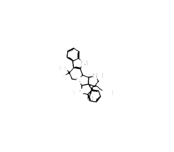 CCC1(CC)CN2C(c3[nH]c4ccccc4c31)C1NCC3(C(C)C3C)C13c1ccccc1NC23